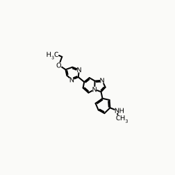 CCOc1cnc(-c2ccn3c(-c4cccc(NC)c4)cnc3c2)nc1